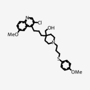 COc1ccc(SCCCN2CCC(CO)(CCCc3c(Cl)cnc4ccc(OC)cc34)CC2)cc1